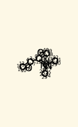 C1=C(c2ccc3c(c2)oc2ccccc23)C=C(c2nc(-c3ccccc3)nc(-c3ccccc3)n2)C2c3ccccc3OC12